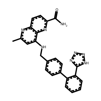 Cc1cc(NCc2ccc(-c3ccccc3-c3nnn[nH]3)cc2)c2nc(C(N)=O)ccc2n1